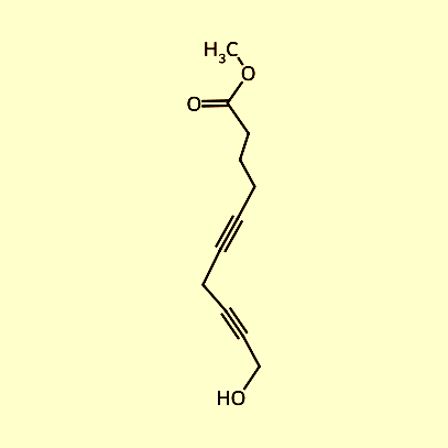 COC(=O)CCCC#CCC#CCO